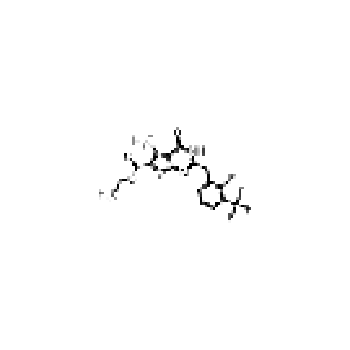 CCOC(=O)c1sc2nc(Cc3cccc(C(F)(F)F)c3F)[nH]c(=O)c2c1C